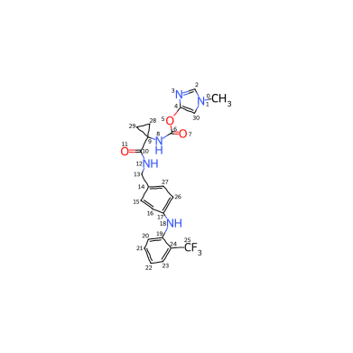 Cn1cnc(OC(=O)NC2(C(=O)NCc3ccc(Nc4ccccc4C(F)(F)F)cc3)CC2)c1